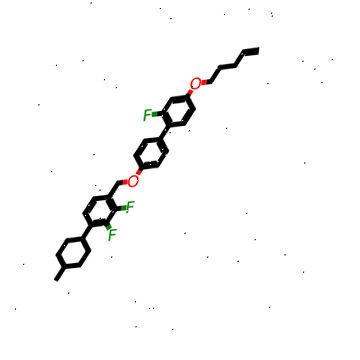 C=CCCCOc1ccc(-c2ccc(OCc3ccc(C4CCC(C)CC4)c(F)c3F)cc2)c(F)c1